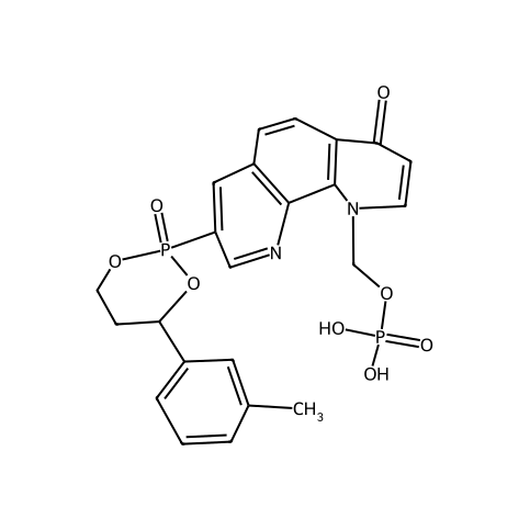 Cc1cccc(C2CCOP(=O)(c3cnc4c(ccc5c(=O)ccn(COP(=O)(O)O)c54)c3)O2)c1